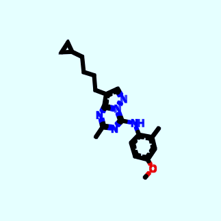 COc1ccc(Nc2nc(C)nc3c(CCCCC4CC4)cnn23)c(C)c1